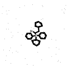 BrC(Cc1ccccc1)[PH](c1ccccc1)(c1ccccc1)c1ccccc1